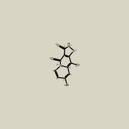 CCc1c2s[nH]c(=O)c2c(=O)n2ccc(Br)cc12